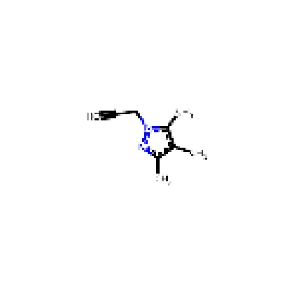 C#CCn1nc(C)c(C)c1C